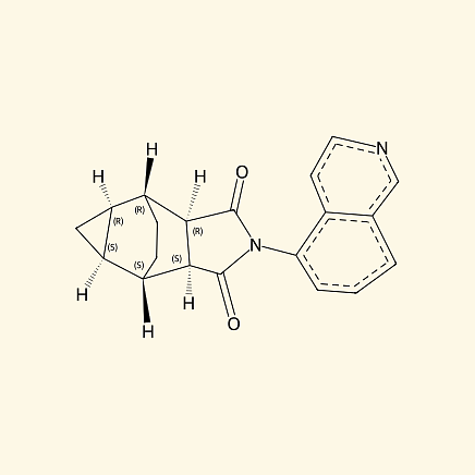 O=C1[C@@H]2[C@@H]3CC[C@@H]([C@H]4C[C@H]43)[C@@H]2C(=O)N1c1cccc2cnccc12